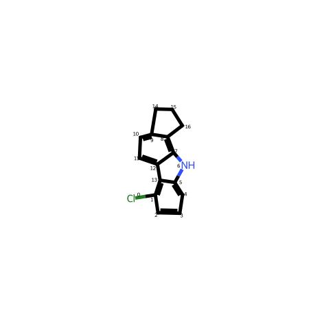 Clc1cccc2[nH]c3c4c(ccc3c12)CCC4